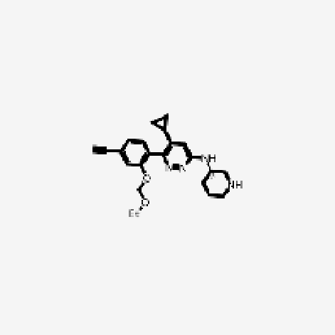 C#Cc1ccc(-c2nnc(N[C@@H]3CCCNC3)cc2C2CC2)c(OCOCC)c1